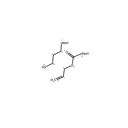 C=CCOC(=O)CCCCC.CCCCCCCCCCCCS